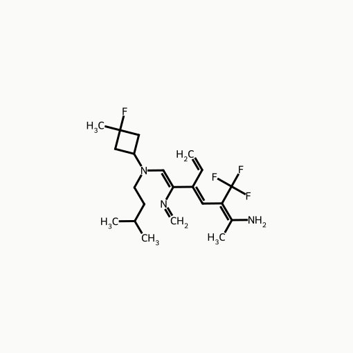 C=CC(=C\C(=C(/C)N)C(F)(F)F)/C(=C/N(CCC(C)C)C1CC(C)(F)C1)N=C